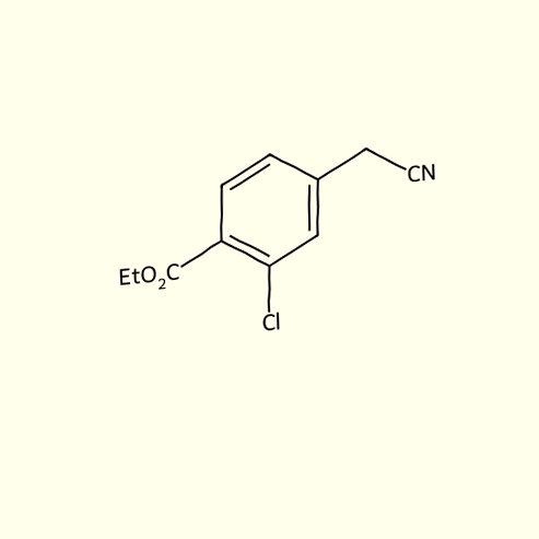 CCOC(=O)c1ccc(CC#N)cc1Cl